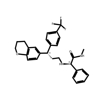 CNC(=O)[C@H](NCC[C@@H](c1ccc(C(F)(F)F)cc1)c1ccc2c(c1)CCCO2)c1ccccc1